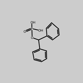 O=P(O)(O)OC(c1ccccc1)c1ccccc1